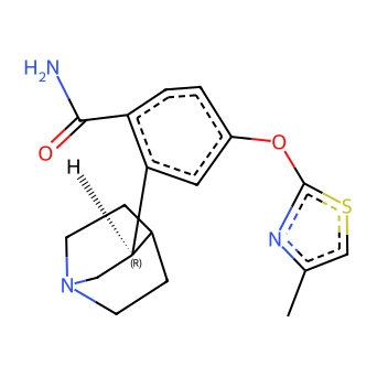 Cc1csc(Oc2ccc(C(N)=O)c([C@@H]3CN4CCC3CC4)c2)n1